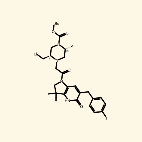 C[C@@H]1CN(CC(=O)N2CC(C)(C)c3[nH]c(=O)c(Cc4ccc(F)cc4)cc32)[C@@H](CCl)CN1C(=O)OC(C)(C)C